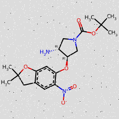 CC(C)(C)OC(=O)N1C[C@@H](N)[C@H](Oc2cc3c(cc2[N+](=O)[O-])CC(C)(C)O3)C1